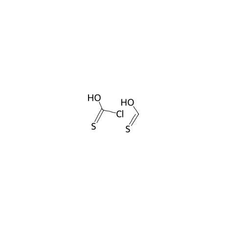 OC(=S)Cl.OC=S